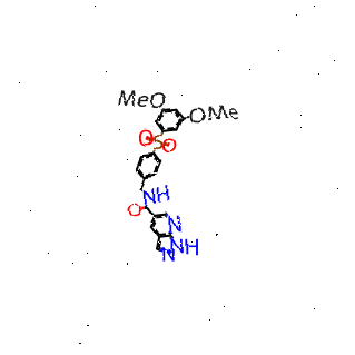 COc1cc(OC)cc(S(=O)(=O)c2ccc(CNC(=O)c3cnc4[nH]ncc4c3)cc2)c1